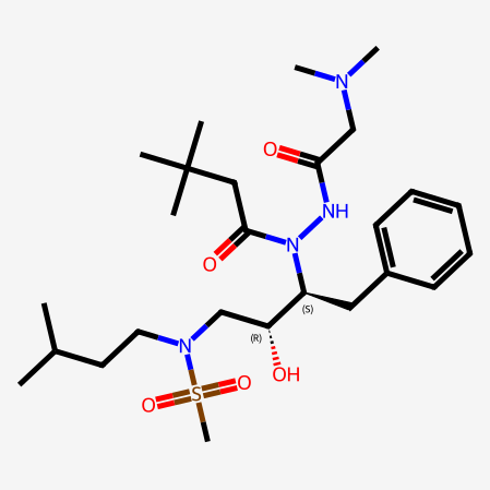 CC(C)CCN(C[C@@H](O)[C@H](Cc1ccccc1)N(NC(=O)CN(C)C)C(=O)CC(C)(C)C)S(C)(=O)=O